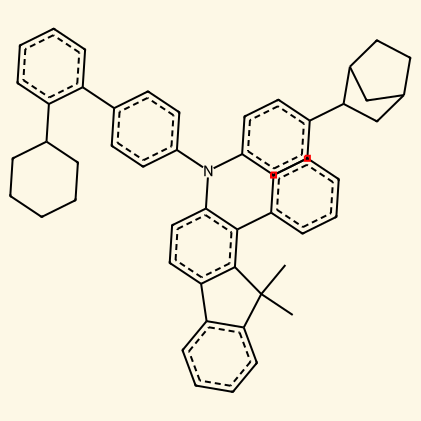 CC1(C)c2ccccc2-c2ccc(N(c3ccc(-c4ccccc4C4CCCCC4)cc3)c3ccc(C4CC5CCC4C5)cc3)c(-c3ccccc3)c21